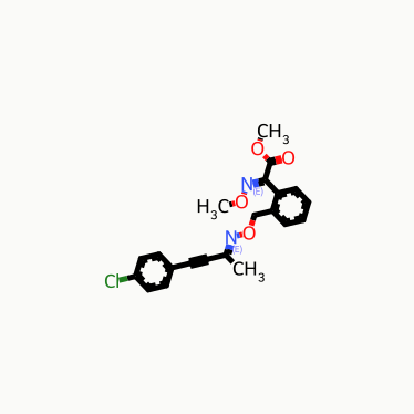 CO/N=C(/C(=O)OC)c1ccccc1CO/N=C(\C)C#Cc1ccc(Cl)cc1